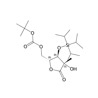 CC(C)[Si](O[C@@H]1[C@@H](COC(=O)OC(C)(C)C)OC(=O)[C@@]1(C)O)(C(C)C)C(C)C